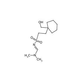 CN(C)/C=N/S(=O)(=O)CCC1(CO)CCCCC1